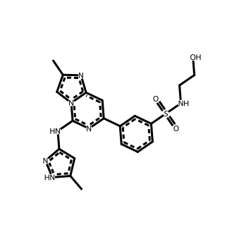 Cc1cn2c(Nc3cc(C)[nH]n3)nc(-c3cccc(S(=O)(=O)NCCO)c3)cc2n1